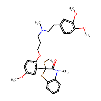 COc1ccc(OCCCN(C)CCc2ccc(OC)c(OC)c2)c(C2(SC)Sc3ccccc3N(C)C2=O)c1